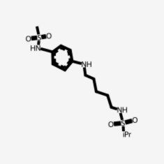 CC(C)S(=O)(=O)NCCCCCNc1ccc(NS(C)(=O)=O)cc1